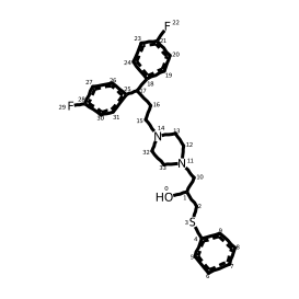 OC(CSc1ccccc1)CN1CCN(CCC(c2ccc(F)cc2)c2ccc(F)cc2)CC1